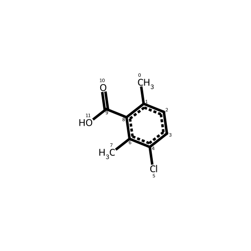 Cc1ccc(Cl)c(C)c1C(=O)O